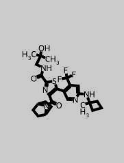 CC(C)(O)CNC(=O)c1nc(C(=O)N2C3CCC2CC3)c(-c2cnc(NC3(C)CCC3)cc2C(F)(F)F)s1